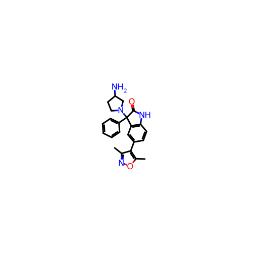 Cc1noc(C)c1-c1ccc2c(c1)C(c1ccccc1)(N1CCC(N)C1)C(=O)N2